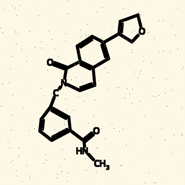 CNC(=O)c1cccc(Cn2ccc3cc(C4=CCOC4)ccc3c2=O)c1